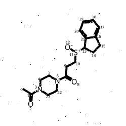 CC(=O)N1CCN(C(=O)CC[S+]([O-])C2CCc3ccccc32)CC1